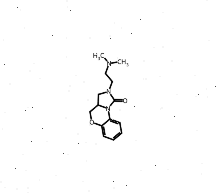 CN(C)CCN1CC2COc3ccccc3N2C1=O